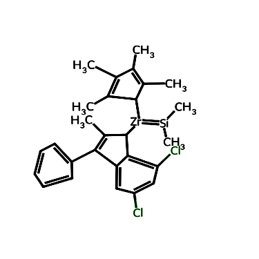 CC1=C(C)[CH]([Zr]([CH]2C(C)=C(c3ccccc3)c3cc(Cl)cc(Cl)c32)=[Si](C)C)C(C)=C1C